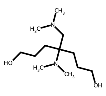 CN(C)CC(CCCO)(CCCO)N(C)C